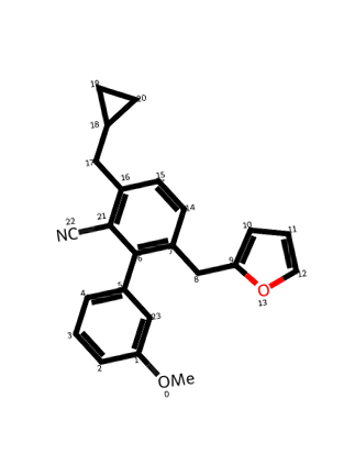 COc1cccc(-c2c(Cc3ccco3)c[c]c(CC3CC3)c2C#N)c1